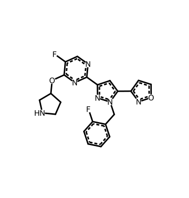 Fc1ccccc1Cn1nc(-c2ncc(F)c(OC3CCNC3)n2)cc1-c1ccon1